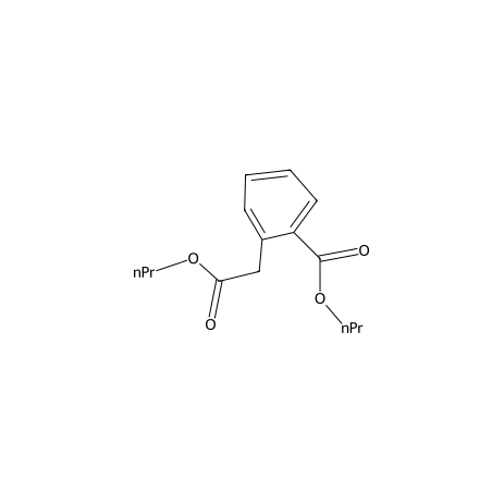 CCCOC(=O)Cc1ccccc1C(=O)OCCC